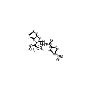 COC(=O)CC(C)(Cc1ccccc1)NNC(=O)c1ccc([N+](=O)[O-])cc1